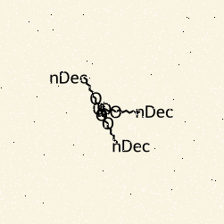 CCCCCCCCCCCCCCCCOCCOB(OCCOCCCCCCCCCCCCCCCC)OCCOCCCCCCCCCCCCCCCC